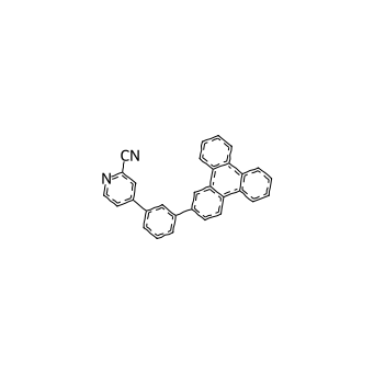 N#Cc1cc(-c2cccc(-c3ccc4c5ccccc5c5ccccc5c4c3)c2)ccn1